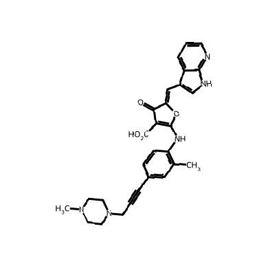 Cc1cc(C#CCN2CCN(C)CC2)ccc1NC1=C(C(=O)O)C(=O)C(=Cc2c[nH]c3ncccc23)O1